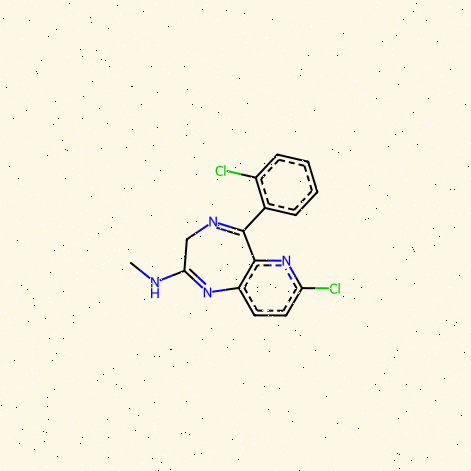 CNC1=Nc2ccc(Cl)nc2C(c2ccccc2Cl)=NC1